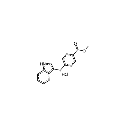 COC(=O)c1ccc([CH]c2c[nH]c3ccccc23)cc1.Cl